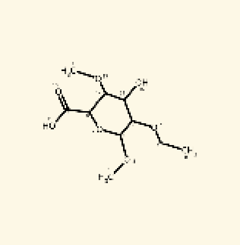 CCOC1C(OC)OC(C(=O)O)C(OC)C1O